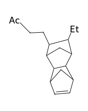 CCC1C(CCC(C)=O)C2CC1C1C3C=CC(C3)C21